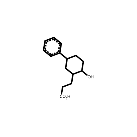 O=C(O)CCC1CC(c2ccccc2)CCC1O